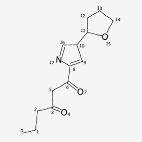 CCCC(=O)CC(=O)C1=CC(C2CCCO2)C=N1